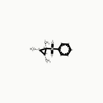 C[C@@H]1[C@H](C)[C@@]1(C)S(=O)(=O)c1ccccc1